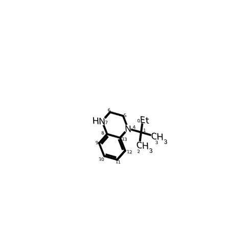 CCC(C)(C)N1CCNc2ccccc21